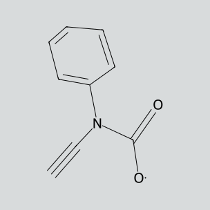 C#CN(C([O])=O)c1ccccc1